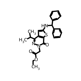 CCOC(=O)Cn1nc(C(C)C)c2cc(NC(c3ccccc3)c3ccccc3)sc2c1=O